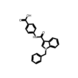 O=C(O)c1ccc(NC(=O)c2cn(Cc3ccccc3)c3ccccc23)cc1